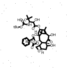 COC(=O)O[C@@]12CO[C@@H]1CC(O)[C@@]1(C)C(=O)[C@H](O)C3=C(C)[C@@H](OC(=O)[C@H](O)[C@@H](NC(=O)OC(C)(C)C)C(C)(C)C(=O)O)C[C@@](O)([C@@H](OC(=O)c4ccccc4)C12)C3(C)C